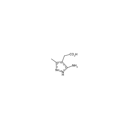 Cc1n[nH]c(N)c1CC(=O)O